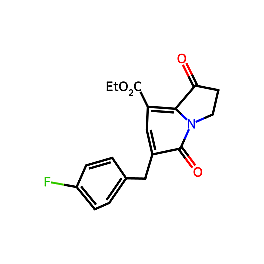 CCOC(=O)c1cc(Cc2ccc(F)cc2)c(=O)n2c1C(=O)CC2